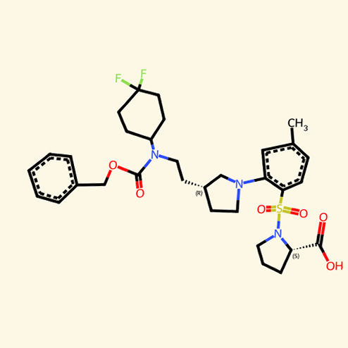 Cc1ccc(S(=O)(=O)N2CCC[C@H]2C(=O)O)c(N2CC[C@H](CCN(C(=O)OCc3ccccc3)C3CCC(F)(F)CC3)C2)c1